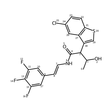 CC(O)C(C(=O)N/C=C/c1cc(F)c(F)c(F)c1)c1csc2ccc(Cl)cc12